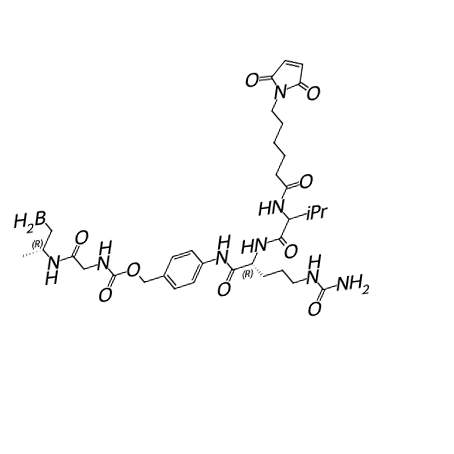 BC[C@@H](C)NC(=O)CNC(=O)OCc1ccc(NC(=O)[C@@H](CCCNC(N)=O)NC(=O)C(NC(=O)CCCCCN2C(=O)C=CC2=O)C(C)C)cc1